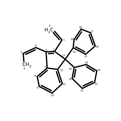 C=CC1=C(/C=C\C)c2ccccc2C1(c1ccccc1)c1ccccc1